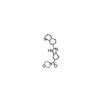 [O-][S+](c1ccc2nc(-c3ccc4cccnc4c3)[nH]c2c1)N1CCOCC1